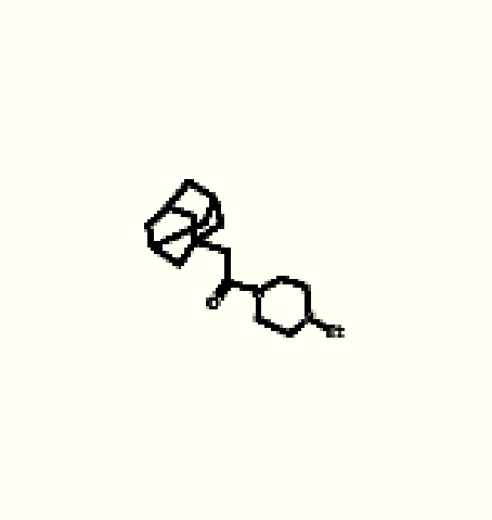 [CH2]CN1CCN(C(=O)CC23CC4CC(CC(C4)C2)C3)CC1